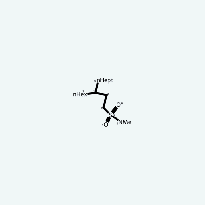 CCCCCCCC(CCCCCC)CCS(=O)(=O)NC